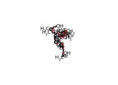 C=C(Br)CC(O)CCC12CC3OC4C(O1)[C@H]1OC(CC(=O)CC5C(CC6OC(CCCO)CC(C)C6=C)OC(CC(CO[Si](C)(C)C(C)(C)C)O[Si](C)(C)C(C)(C)C)[C@@H]5OC)CCC1O[C@H]4C3O2